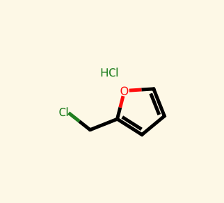 Cl.ClCc1ccco1